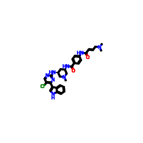 CN(C)C/C=C/C(=O)Nc1ccc(C(=O)N[C@H]2C[C@@H](Nc3ncc(Cl)c(-c4c[nH]c5ccccc45)n3)CN(C)C2)cc1